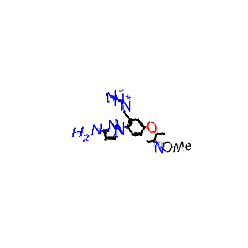 CO/N=C(/C)C(C)Oc1ccc(-n2ccc(N)n2)c(CN=[N+]=[N-])c1